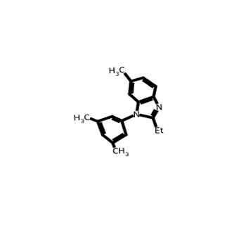 CCc1nc2ccc(C)cc2n1-c1cc(C)cc(C)c1